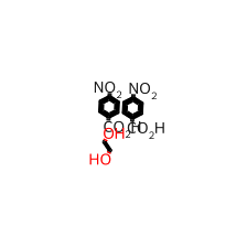 O=C(O)c1ccc([N+](=O)[O-])cc1.O=C(O)c1ccc([N+](=O)[O-])cc1.OCCO